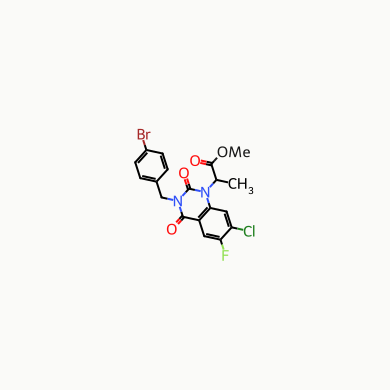 COC(=O)C(C)n1c(=O)n(Cc2ccc(Br)cc2)c(=O)c2cc(F)c(Cl)cc21